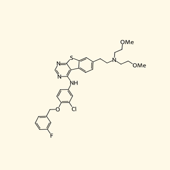 COCCN(CCOC)CCc1ccc2c(c1)sc1ncnc(Nc3ccc(OCc4cccc(F)c4)c(Cl)c3)c12